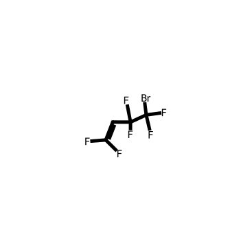 FC(F)=CC(F)(F)C(F)(F)Br